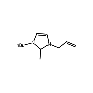 C=CCN1C=CN(CCCC)C1C